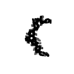 C[C@@H](CO)NC1CCN(c2ccc3c(c2)Cn2cc(-c4ccc(C#N)cc4)cc2-c2nncn2-3)CC1